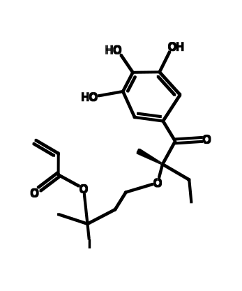 C=CC(=O)OC(C)(I)CCO[C@@](C)(CC)C(=O)c1cc(O)c(O)c(O)c1